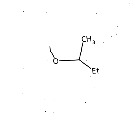 CCC(C)OI